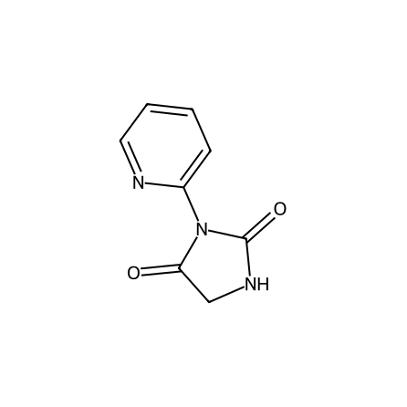 O=C1CNC(=O)N1c1ccccn1